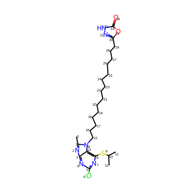 Cc1nc2nc(Cl)nc(SC(C)C)c2n1CCCCCCCCCCCCCCCc1n[nH]c(=O)o1